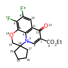 CCOC(=O)c1cn2c3c(c(F)c(F)cc3c1=O)OCC21CCCC1